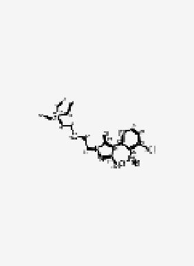 CC[Si](CC)(CC)CCOCCn1nc(C)c(-c2nccc(Cl)c2[N+](=O)[O-])c1C